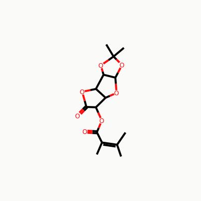 CC(C)=C(C)C(=O)OC1C(=O)OC2C3OC(C)(C)OC3OC12